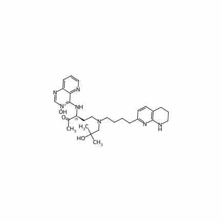 CC(=O)[C@H](CCN(CCCCc1ccc2c(n1)NCCC2)CC(C)(C)O)Nc1c2ncccc2nc[n+]1O